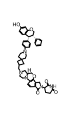 O=C1CCC(N2Cc3c(ccc4c3OC[C@@H]3CN(CC5CC6(CCN(c7ccc([C@@H]8c9ccc(O)cc9OC[C@@H]8c8ccccc8)cc7)CC6)C5)CCN43)C2=O)C(=O)N1